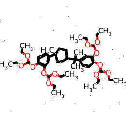 CCOC(OCC)Oc1ccc(C2(C)CCC(C(C)(C)c3ccc(OC(OCC)OCC)c(OC(OCC)OCC)c3)CC2)cc1OC(OCC)OCC